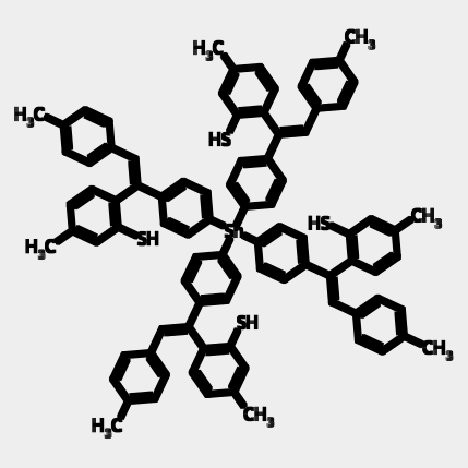 Cc1ccc(C=C(c2cc[c]([Sn]([c]3ccc(C(=Cc4ccc(C)cc4)c4ccc(C)cc4S)cc3)([c]3ccc(C(=Cc4ccc(C)cc4)c4ccc(C)cc4S)cc3)[c]3ccc(C(=Cc4ccc(C)cc4)c4ccc(C)cc4S)cc3)cc2)c2ccc(C)cc2S)cc1